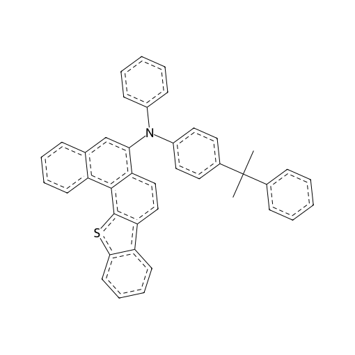 CC(C)(c1ccccc1)c1ccc(N(c2ccccc2)c2cc3ccccc3c3c2ccc2c4ccccc4sc23)cc1